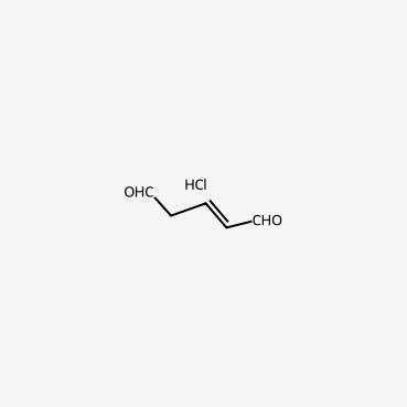 Cl.O=CC=CCC=O